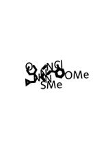 COc1ccc(-c2nccn3c(N(CC4CC4)C4CCOCC4)c(SC)nc23)c(Cl)c1